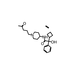 C=C.CC(=O)CCCN1CCC(NC(=O)C(O)(c2ccccc2)C2CCC2)CC1